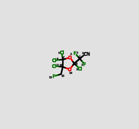 N#CC(F)(F)C1(Cl)OC(Cl)(Cl)C(Cl)(CF)O1